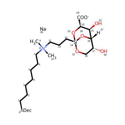 CCCCCCCCCCCCCCCCC[N+](C)(C)CCC[Si]12OC[C@@H](O)[C@H](O1)[C@H](O)[C@H](C(=O)[O-])O2.[Na]